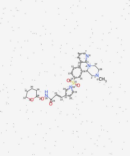 CN1CCN(c2ncccc2-c2ccc(S(=O)(=O)n3ccc(C=CC(=O)NOC4CCCCO4)c3)cc2)CC1